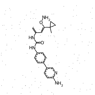 C=C(/C=C(\ON)C1(C)CC1)NC(=O)Nc1ccc(-c2ccc(N)nc2)cc1